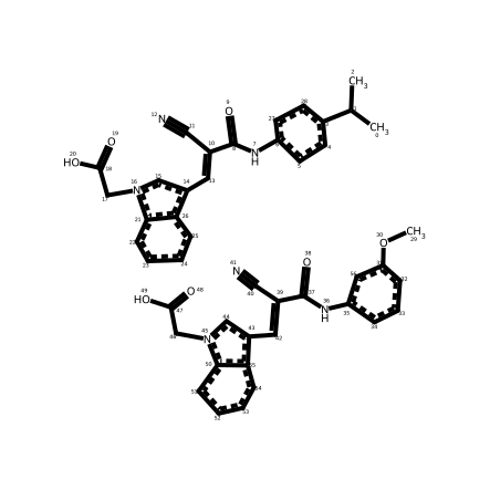 CC(C)c1ccc(NC(=O)/C(C#N)=C/c2cn(CC(=O)O)c3ccccc23)cc1.COc1cccc(NC(=O)/C(C#N)=C/c2cn(CC(=O)O)c3ccccc23)c1